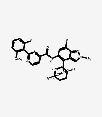 COc1cccc(F)c1-c1nccc(C(=O)Nc2cc(F)c3nn(C)cc3c2N2C[C@@H]3CC[C@H]2CN3)n1